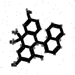 CC(C)(C)c1ccc2c(c1)C(C)(C)c1cc(C(C)(C)C)cc(Br)c1N2c1cccc2ccccc12